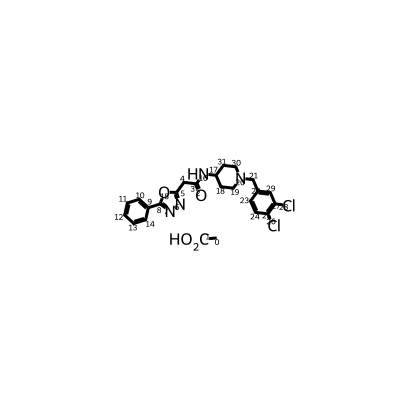 CC(=O)O.O=C(Cc1nnc(-c2ccccc2)o1)NC1CCN(Cc2ccc(Cl)c(Cl)c2)CC1